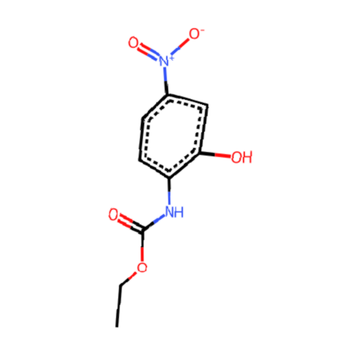 CCOC(=O)Nc1ccc([N+](=O)[O-])cc1O